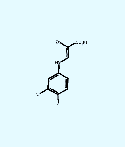 CCOC(=O)/C(=C/Nc1ccc(F)c(Cl)c1)CC